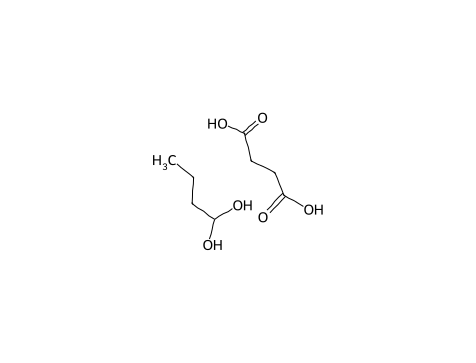 CCCC(O)O.O=C(O)CCC(=O)O